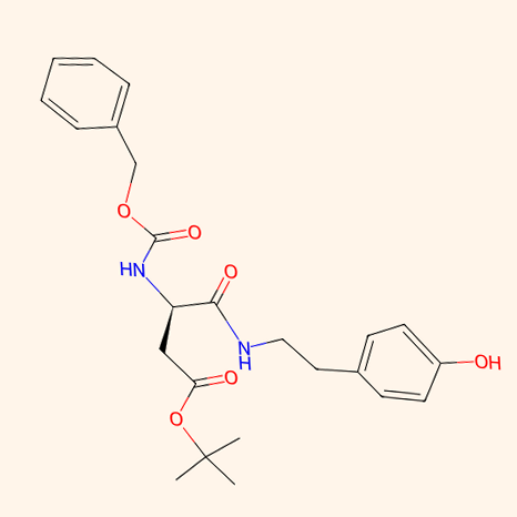 CC(C)(C)OC(=O)C[C@@H](NC(=O)OCc1ccccc1)C(=O)NCCc1ccc(O)cc1